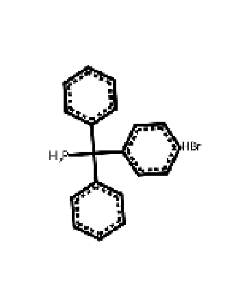 Br.PC(c1ccccc1)(c1ccccc1)c1ccccc1